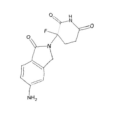 Nc1ccc2c(c1)CN(C1(F)CCC(=O)NC1=O)C2=O